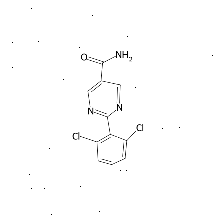 NC(=O)c1cnc(-c2c(Cl)cccc2Cl)nc1